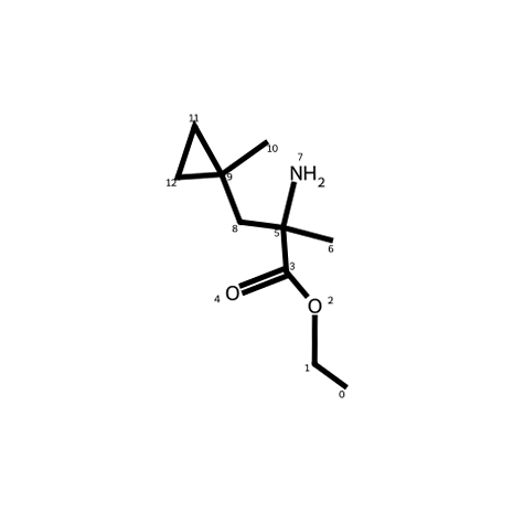 CCOC(=O)C(C)(N)CC1(C)CC1